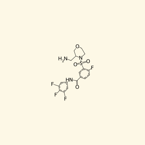 NCC1COCCN1S(=O)(=O)c1cc(C(=O)Nc2cc(F)c(F)c(F)c2)ccc1F